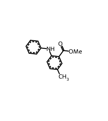 COC(=O)c1cc(C)ccc1Nc1ccccc1